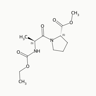 CCOC(=O)N[C@@H](C)C(=O)N1CCC[C@H]1C(=O)OC